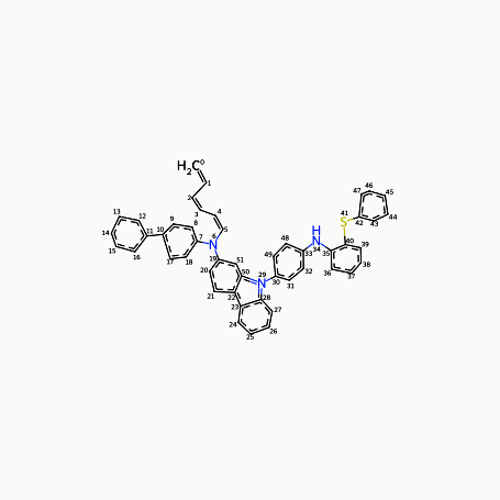 C=C/C=C\C=C/N(c1ccc(-c2ccccc2)cc1)c1ccc2c3ccccc3n(-c3ccc(Nc4ccccc4Sc4ccccc4)cc3)c2c1